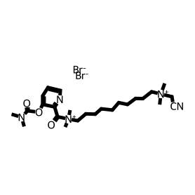 CN(C)C(=O)Oc1cccnc1C(=O)[N+](C)(C)CCCCCCCCCC[N+](C)(C)CC#N.[Br-].[Br-]